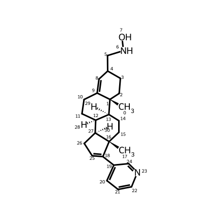 C[C@]12CCC(CNO)C=C1CC[C@H]1[C@@H]2CC[C@]2(C)C(c3cccnc3)=CC[C@@H]12